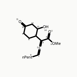 CCCCCC=C=C(C(=O)OC)C1CCC(=O)CC1O